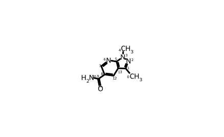 Cc1nn(C)c2ncc(C(N)=O)cc12